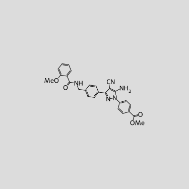 COC(=O)c1ccc(-n2nc(-c3ccc(CNC(=O)c4ccccc4OC)cc3)c(C#N)c2N)cc1